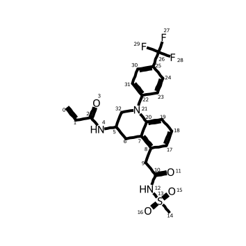 C=CC(=O)NC1Cc2c(CC(=O)NS(C)(=O)=O)cccc2N(c2ccc(C(F)(F)F)cc2)C1